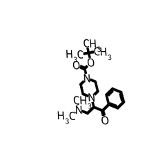 CN(C)CC(C(=O)c1ccccc1)N1CCN(C(=O)OC(C)(C)C)CC1